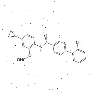 O=COc1cc(C2CC2)ccc1NC(=O)c1ccc(-c2ccccc2Cl)nc1